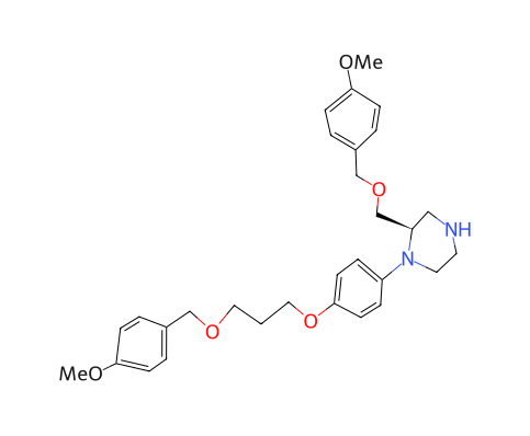 COc1ccc(COCCCOc2ccc(N3CCNC[C@@H]3COCc3ccc(OC)cc3)cc2)cc1